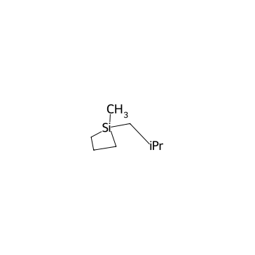 CC(C)C[Si]1(C)CCC1